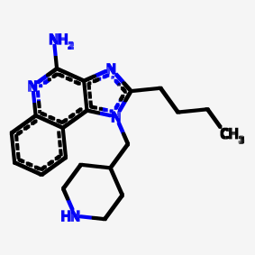 CCCCc1nc2c(N)nc3ccccc3c2n1CC1CCNCC1